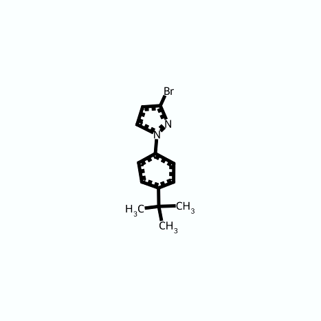 CC(C)(C)c1ccc(-n2ccc(Br)n2)cc1